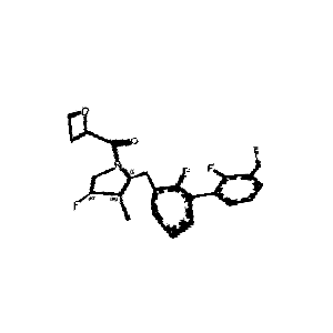 C[C@H]1[C@@H](F)CN(C(=O)C2CCO2)[C@H]1Cc1cccc(-c2cccc(F)c2F)c1F